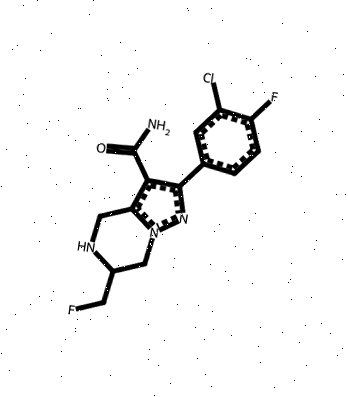 NC(=O)c1c(-c2ccc(F)c(Cl)c2)nn2c1CNC(CF)C2